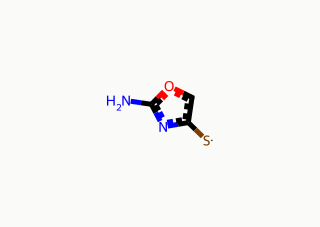 Nc1nc([S])co1